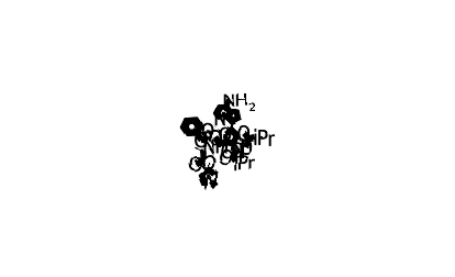 CC(C)C(=O)O[C@H]1[C@H](c2ccc3c(N)ccnn23)O[C@](C#N)(CO[P@](=O)(N[C@@H](C)C(=O)O[C@H]2CCN(C)C2)Oc2ccccc2)[C@H]1OC(=O)C(C)C